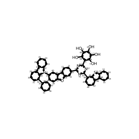 Oc1c(O)c(O)c(-c2nc(-c3ccc4c(c3)oc3ccc(-n5c6ccccc6c6cccc(-c7ccccc7)c65)cc34)nc(-c3cccc4c3sc3ccccc34)n2)c(O)c1O